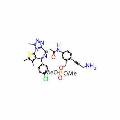 COP(=O)(OC)OCc1cc(NC(=O)C[C@@H]2N=C(c3ccc(Cl)cc3)c3c(sc(C)c3C)-n3c(C)nnc32)ccc1C#CCN